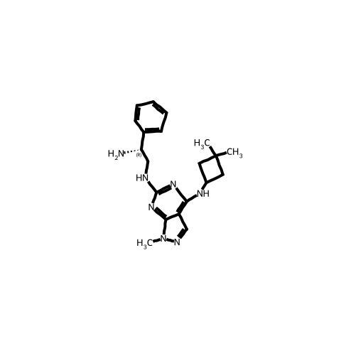 Cn1ncc2c(NC3CC(C)(C)C3)nc(NC[C@H](N)c3ccccc3)nc21